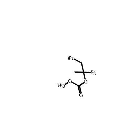 CCC(C)(CC(C)C)OC(=O)OO